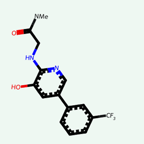 CNC(=O)CNc1ncc(-c2cccc(C(F)(F)F)c2)cc1O